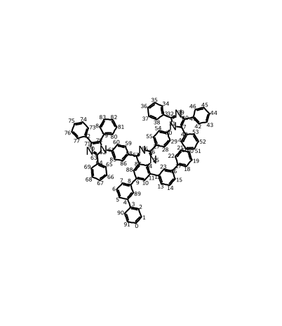 c1ccc(-c2cccc(-c3cc(-c4cccc(-c5ccccc5)c4)c4nc(-c5ccc(-n6c(-c7ccccc7)nc(-c7ccccc7)c6-c6ccccc6)cc5)nc(-c5ccc(-n6c(-c7ccccc7)nc(-c7ccccc7)c6-c6ccccc6)cc5)c4c3)c2)cc1